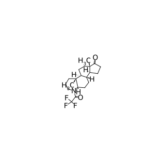 C[C@]12CCCN(C(=O)C(F)(F)F)[C@H]1CC[C@@H]1[C@@H]2CC[C@]2(C)C(=O)CC[C@@H]12